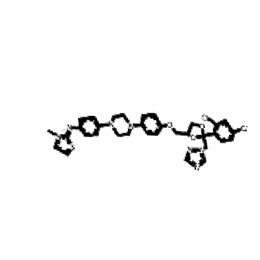 Cn1ccs/c1=N\c1ccc(N2CCN(c3ccc(OCC4COC(Cn5cncn5)(c5ccc(Cl)cc5Cl)O4)cc3)CC2)cc1